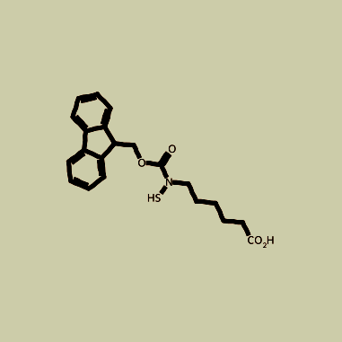 O=C(O)CCCCCN(S)C(=O)OCC1c2ccccc2-c2ccccc21